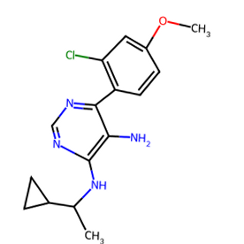 COc1ccc(-c2ncnc(NC(C)C3CC3)c2N)c(Cl)c1